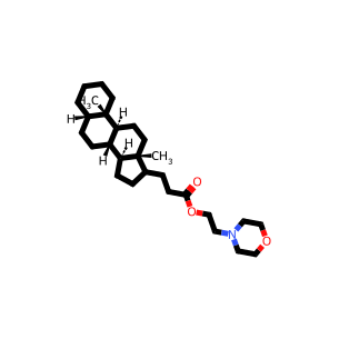 C[C@]12CCCC[C@H]1CC[C@@H]1[C@@H]2CC[C@]2(C)C(CCC(=O)OCCN3CCOCC3)CC[C@@H]12